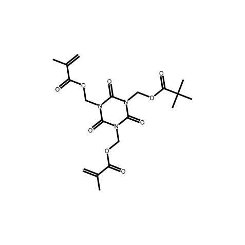 C=C(C)C(=O)OCn1c(=O)n(COC(=O)C(=C)C)c(=O)n(COC(=O)C(C)(C)C)c1=O